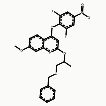 COc1ccc2c(Oc3c(F)cc([N+](=O)[O-])cc3F)cc(OC(C)COCc3ccccc3)nc2c1